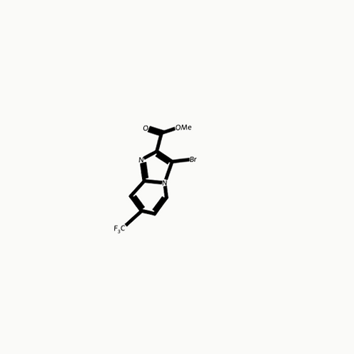 COC(=O)c1nc2cc(C(F)(F)F)ccn2c1Br